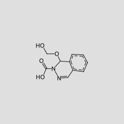 O=C(O)N1N=Cc2ccccc2C1OCO